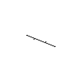 C=CCCCCCCCCC(=C)CCCCCCCCCCC(=C)CCCCCCC=C